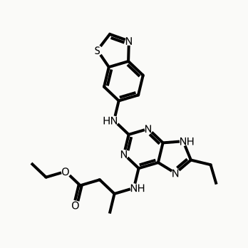 CCOC(=O)CC(C)Nc1nc(Nc2ccc3ncsc3c2)nc2[nH]c(CC)nc12